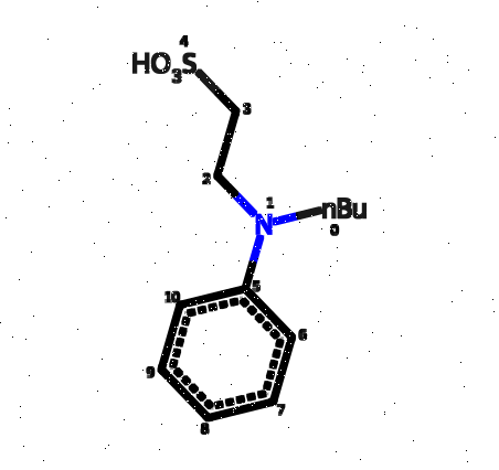 CCCCN(CCS(=O)(=O)O)c1ccccc1